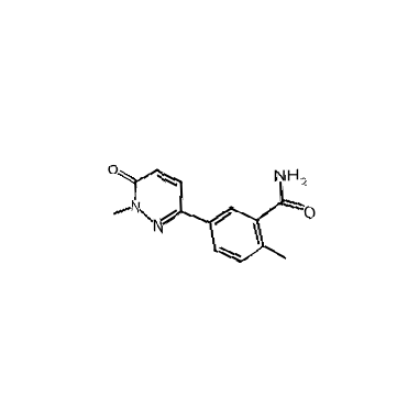 Cc1ccc(-c2ccc(=O)n(C)n2)cc1C(N)=O